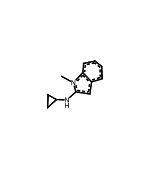 Cn1c(NC2CC2)cc2ccccc21